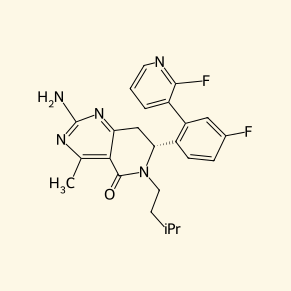 Cc1nc(N)nc2c1C(=O)N(CCC(C)C)[C@@H](c1ccc(F)cc1-c1cccnc1F)C2